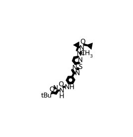 CN(CC1(NC(=O)C2CC2)CC1)c1ccc2c(n1)sc1nc(-c3ccc(NC(=O)Nc4cc(C(C)(C)C)on4)cc3)cn12